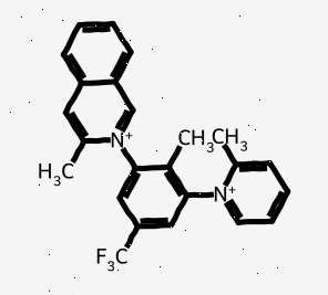 Cc1c(-[n+]2ccccc2C)cc(C(F)(F)F)cc1-[n+]1cc2ccccc2cc1C